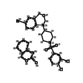 O=S(=O)(c1ccc(Cl)c(Cl)c1)N1CCC(N2COCc3cc(Br)ccc32)CC1.O=c1nc2ccccc2co1